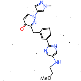 COCCNc1cnc(-c2cccc(Cc3nn(-c4cnn(C)c4)ccc3=O)c2)nc1